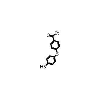 CCC(=O)c1ccc(Sc2ccc(S)cc2)cc1